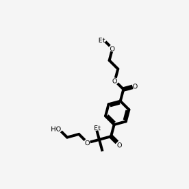 CCOCCOC(=O)c1ccc(C(=O)C(C)(CC)OCCO)cc1